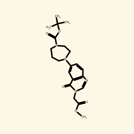 COC(=O)Cn1cnc2ccc(N3CCCN(C(=O)OC(C)(C)C)CC3)cc2c1=O